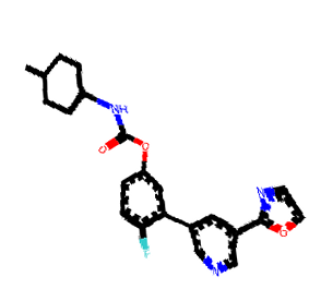 CC1CCC(NC(=O)Oc2ccc(F)c(-c3cncc(-c4ncco4)c3)c2)CC1